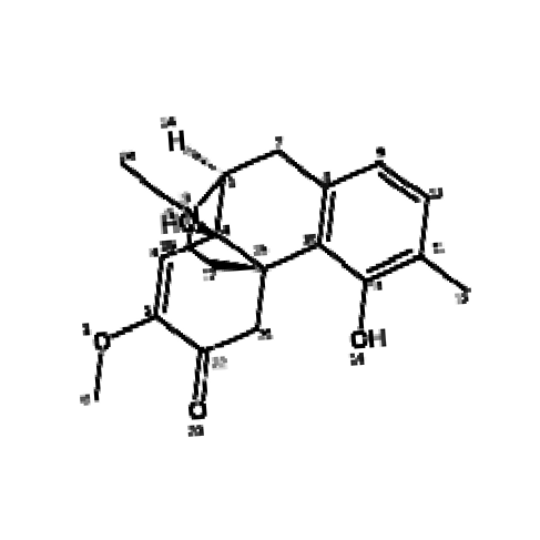 COC1=C[C@]2(O)[C@@H]3Cc4ccc(C)c(O)c4[C@]2(CCN3C)CC1=O